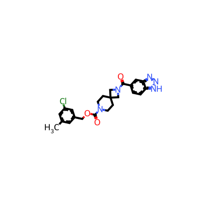 Cc1cc(Cl)cc(COC(=O)N2CCC3(CC2)CN(C(=O)c2ccc4[nH]nnc4c2)C3)c1